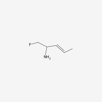 CC=CC(N)CF